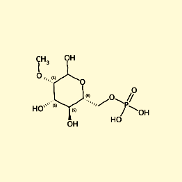 CO[C@@H]1C(O)O[C@H](COP(=O)(O)O)[C@@H](O)[C@@H]1O